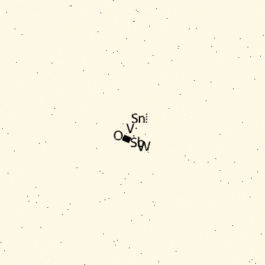 [O]=[Sb].[Sn].[V].[W]